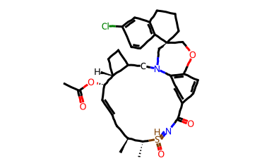 CC(=O)O[C@H]1/C=C/C[C@H](C)[C@@H](C)/[SH](=O)=N\C(=O)c2ccc3c(c2)N(CC2CC[C@H]21)C[C@@]1(CCCc2cc(Cl)ccc21)CO3